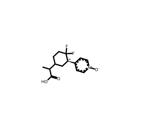 CC(C(=O)O)C1CCC(F)(F)[C@@H](c2cc[n+]([O-])cc2)C1